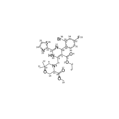 CCOC(=O)C1=C(CN2CC(C)(C)OCC2C(=O)OC)NC(c2nccs2)=NC1c1ccc(F)cc1Br